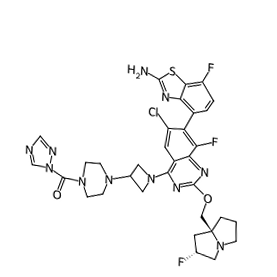 Nc1nc2c(-c3c(Cl)cc4c(N5CC(N6CCN(C(=O)n7cncn7)CC6)C5)nc(OC[C@@]56CCCN5C[C@H](F)C6)nc4c3F)ccc(F)c2s1